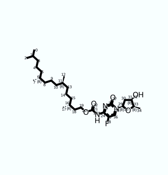 CC(C)CCC[C@@H](C)CCC[C@@H](C)CCC[C@@H](C)CCOC(=O)Nc1nc(=O)n([C@H]2C[C@@H](O)[C@@H](C)O2)cc1F